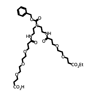 CCOC(=O)CCOCCOCCC(=O)NCCN(CCNC(=O)CCOCCOCCOCCC(=O)O)C(=O)OCc1ccccc1